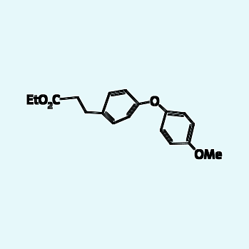 CCOC(=O)CCc1ccc(Oc2ccc(OC)cc2)cc1